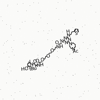 CC(=O)N1CCCN(c2nc(NCCc3cccs3)nc(N(C)CC(=O)NCCOCCOCCOCC(=O)N[C@H](C(=O)N3C[C@H](O)C[C@H]3C)C(C)(C)C)n2)CC1